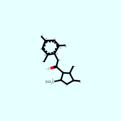 CCOC(=O)C1CC(C)C(C)C1C(=O)Cc1c(C)cc(C)cc1C